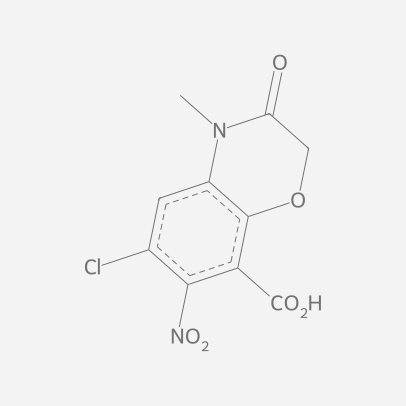 CN1C(=O)COc2c1cc(Cl)c([N+](=O)[O-])c2C(=O)O